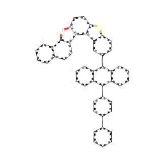 c1ccc(-c2ccc(-c3c4ccccc4c(-c4ccc5sc6ccc7oc8c9ccccc9ccc8c7c6c5c4)c4ccccc34)cc2)cc1